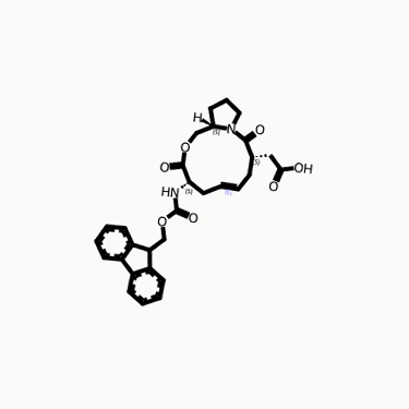 O=C(O)C[C@@H]1C/C=C/C[C@H](NC(=O)OCC2c3ccccc3-c3ccccc32)C(=O)OC[C@@H]2CCCN2C1=O